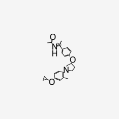 CC(=O)N[C@@H](C)c1ccc(OC2CCN(c3ccc(OC4CC4)cc3C)C2)cc1